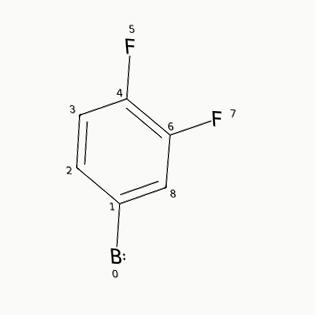 [B]c1ccc(F)c(F)c1